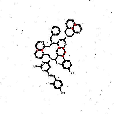 Nc1nc(/N=N/c2ccc(O)cc2O)nc(N(Cc2ccccn2)C(Oc2cc(O)ccc2/N=N/c2nc(N(Cc3ccccn3)Cc3ccccn3)nc(N(Cc3ccccn3)Cc3ccccn3)n2)c2ccccn2)n1